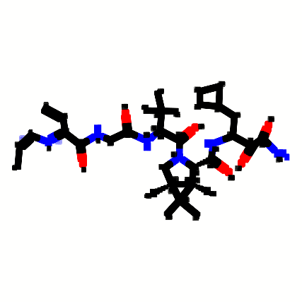 C=C/C(=N\C=C/C)C(=O)NCC(=O)N[C@H](C(=O)N1C[C@H]2[C@@H]([C@H]1C(=O)NC(CC1CCC1)C(=O)C(N)=O)C2(C)C)C(C)(C)C